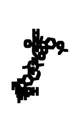 C/C=C\c1cc(C(O)(C(F)(F)F)C(F)(F)F)ccc1N1CC(C)N(C(=O)CN2C(=O)NC(C)(c3ccc(OC(C)C)cc3)C2=O)CC1C